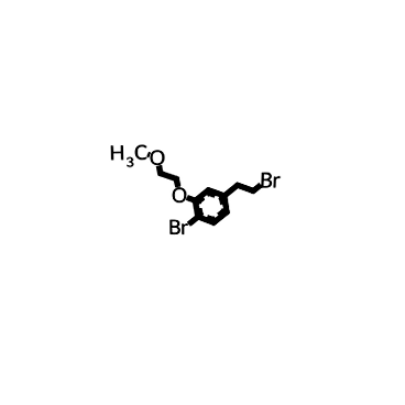 COCCOc1cc(CCBr)ccc1Br